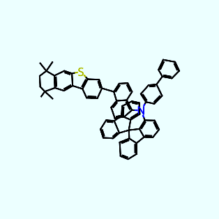 CC1(C)CCC(C)(C)c2cc3c(cc21)sc1cc(-c2cccc4c(N(c5ccc(-c6ccccc6)cc5)c5cccc6c5C5(c7ccccc7-c7ccccc75)c5ccccc5-6)cccc24)ccc13